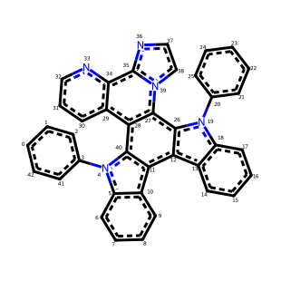 c1ccc(-n2c3ccccc3c3c4c5ccccc5n(-c5ccccc5)c4c4c(c5cccnc5c5nccn54)c32)cc1